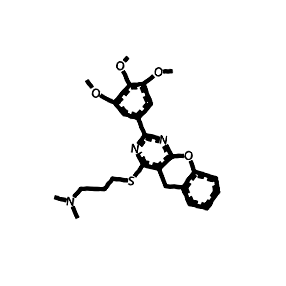 COc1cc(-c2nc3c(c(SCCCN(C)C)n2)Cc2ccccc2O3)cc(OC)c1OC